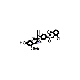 COc1cc(O)cc(OC)c1/C=C1/Sc2cc(S(=O)(=O)Cc3c(Cl)cccc3Cl)ccc2NC1=O